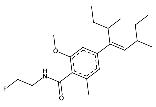 CCC(C)/C=C(/c1cc(C)c(C(=O)NCCF)c(OC)c1)C(C)CC